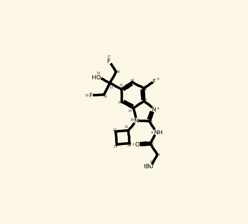 CC(C)(C)CC(=O)Nc1nc2c(F)cc(C(O)(CF)CF)cc2n1C1CCC1